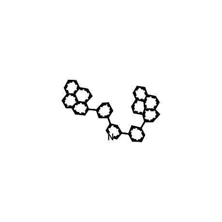 c1cc(-c2cncc(-c3cccc(-c4ccc5ccc6cccc7ccc4c5c67)c3)c2)cc(-c2ccc3ccc4cccc5ccc2c3c45)c1